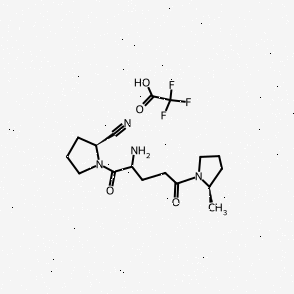 C[C@@H]1CCCN1C(=O)CCC(N)C(=O)N1CCC[C@H]1C#N.O=C(O)C(F)(F)F